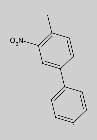 Cc1ccc(-c2cc[c]cc2)cc1[N+](=O)[O-]